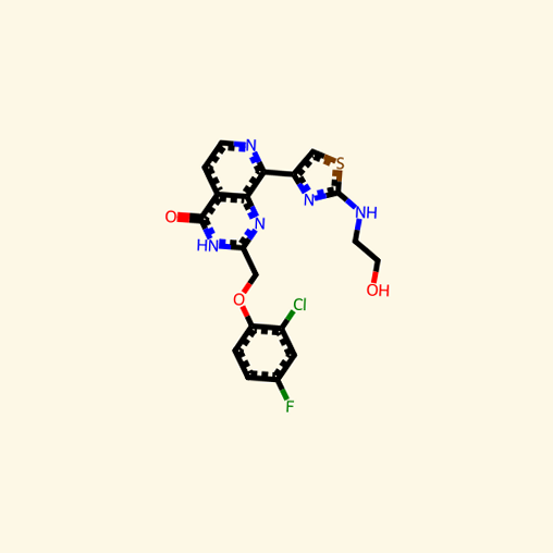 O=c1[nH]c(COc2ccc(F)cc2Cl)nc2c(-c3csc(NCCO)n3)nccc12